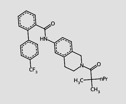 CCCC(C)(C)C(=O)N1CCc2cc(NC(=O)c3ccccc3-c3ccc(C(F)(F)F)cc3)ccc2C1